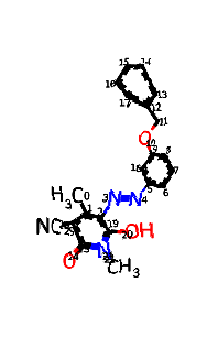 Cc1c(N=Nc2cccc(OCc3ccccc3)c2)c(O)n(C)c(=O)c1C#N